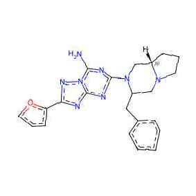 Nc1nc(N2C[C@@H]3CCCN3CC2Cc2ccccc2)nc2nc(-c3ccco3)nn12